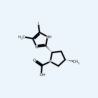 Cc1nc([C@@H]2C[C@H](C)CN2C(=O)O)[nH]c1I